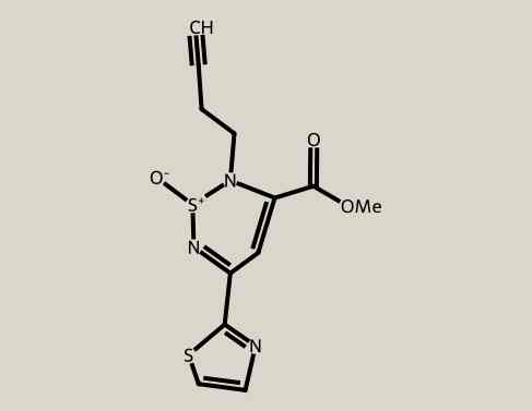 C#CCCN1C(C(=O)OC)=CC(c2nccs2)=N[S+]1[O-]